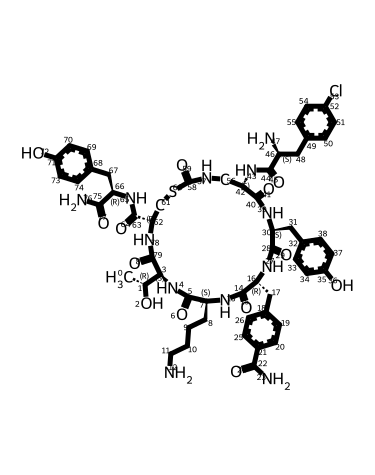 C[C@@H](O)[C@@H]1NC(=O)[C@H](CCCCN)NC(=O)[C@@H](Cc2ccc(C(N)=O)cc2)NC(=O)[C@H](Cc2ccc(O)cc2)NC(=O)[C@@H](NC(=O)[C@@H](N)Cc2ccc(Cl)cc2)CNC(=O)SC[C@@H](C(=O)N[C@H](Cc2ccc(O)cc2)C(N)=O)NC1=O